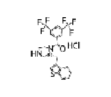 Cl.O=C(c1cc(C(F)(F)F)cc(C(F)(F)F)c1)N1CCNC[C@H]1Cc1csc2ccccc12